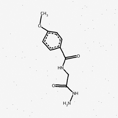 COc1ccc(C(=O)NCC(=O)NN)cc1